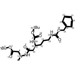 CCCCOC(=O)CN(C)NC(=O)C[C@H](CCCNC(=O)OCc1ccccc1)NC(=O)OC(C)(C)C